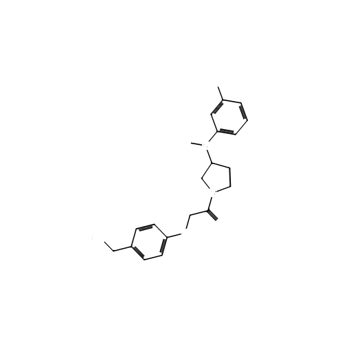 CN(c1cccc(F)c1)C1CCN(C(=O)COc2ccc(CO)cc2)C1